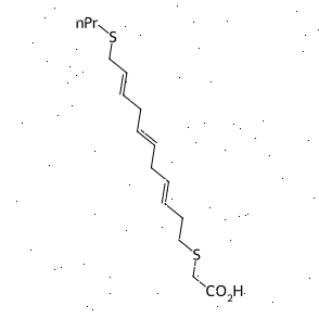 CCCSC/C=C/C/C=C/C/C=C/CCSCC(=O)O